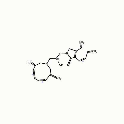 C=C/C=C\C1=C(C=C)CN(C[C@H](O)CN2CC(=C)/C=C\C=C/C(=C)C2)C1=O